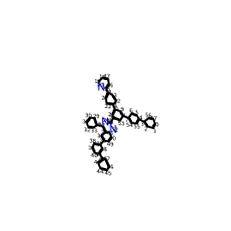 c1ccc(-c2ccc(-c3cc(-c4ccc(-c5ccccn5)cc4)cc(-c4nc(-c5ccccc5)c5cc(-c6cccc(-c7ccccc7)c6)ccc5n4)c3)cc2)cc1